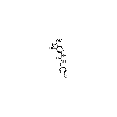 COc1n[nH]c2cc(NC(=O)NCc3ccc(Cl)cc3)ncc12